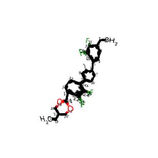 BCc1ccc(-c2ccc(-c3ccc(C4OCC(C=C)CO4)c(F)c3F)cc2)c(F)c1F